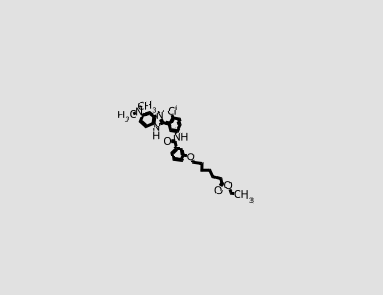 CCOC(=O)CCCCCCOc1cccc(C(=O)Nc2ccc(Cl)c(-c3nc4cc(N(C)C)ccc4[nH]3)c2)c1